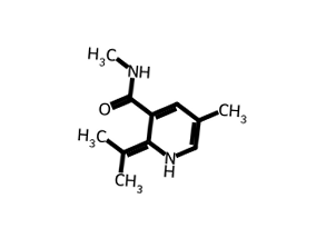 CNC(=O)C1=CC(C)=CNC1=C(C)C